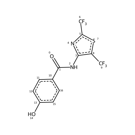 O=C(Nc1nc(C(F)(F)F)sc1C(F)(F)F)c1ccc(O)cc1